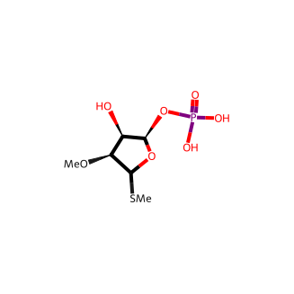 CO[C@@H]1C(SC)O[C@H](OP(=O)(O)O)[C@@H]1O